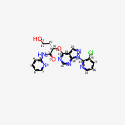 O=C(Nc1ccccn1)[C@H](CCO)Oc1ncnc2c1cnn2-c1ncccc1Cl